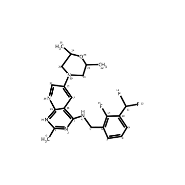 Cc1nc(NCc2cccc(C(F)F)c2F)c2cc(N3CC(C)OC(C)C3)cnc2n1